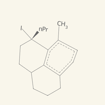 CCC[C@]1(I)CCC2CCCc3ccc(C)c1c32